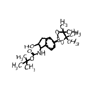 CC(C)(C)OC(=O)NC1c2ccc(B3OC(C)(C)C(C)(C)O3)cc2CC1O